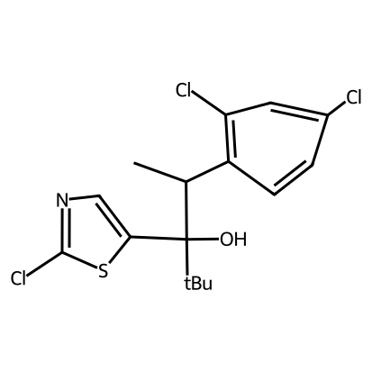 CC(c1ccc(Cl)cc1Cl)C(O)(c1cnc(Cl)s1)C(C)(C)C